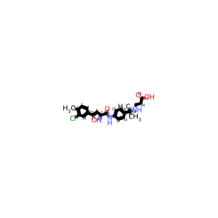 Cc1ccc(-c2cc(C(=O)Nc3ccc(C(C)(C)NCCC(=O)O)cc3)no2)cc1Cl